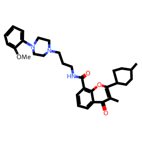 COc1ccccc1N1CCN(CCCNC(=O)c2cccc3c(=O)c(C)c(C4CCC(C)CC4)oc23)CC1